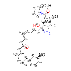 CO[C@@H](C[C@@H](C)[C@H](CC(=O)N1CCC[C@H]1C(=O)O)N=O)C(N)(O)CCCC/C(C)=C/CC(=O)CCC(C)C/C(C)=C/[C@@H]1CCC[C@H](N=O)C1